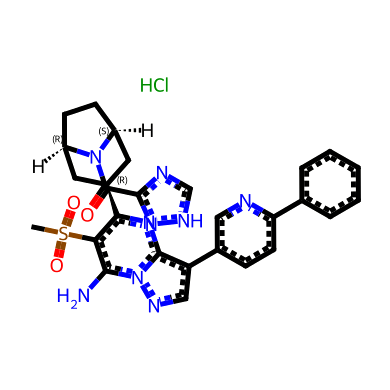 CS(=O)(=O)c1c([C@H]2C[C@H]3CC[C@@H](C2)N3C(=O)c2nc[nH]n2)nc2c(-c3ccc(-c4ccccc4)nc3)cnn2c1N.Cl